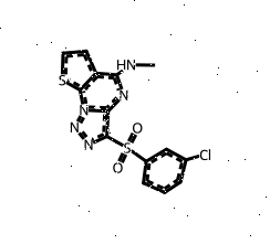 CNc1nc2c(S(=O)(=O)c3cccc(Cl)c3)nnn2c2sccc12